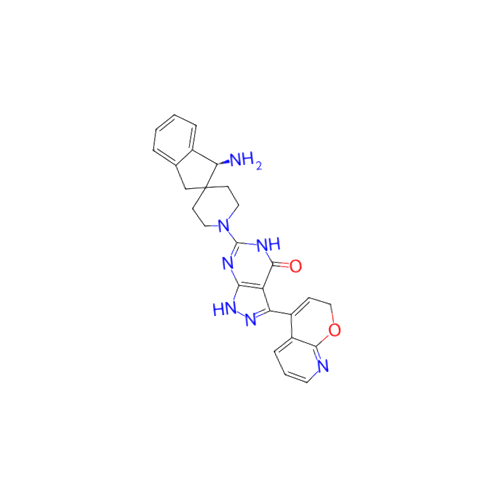 N[C@@H]1c2ccccc2CC12CCN(c1nc3[nH]nc(C4=CCOc5ncccc54)c3c(=O)[nH]1)CC2